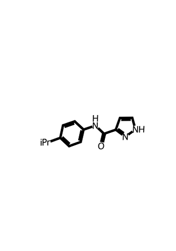 CC(C)c1ccc(NC(=O)c2cc[nH]n2)cc1